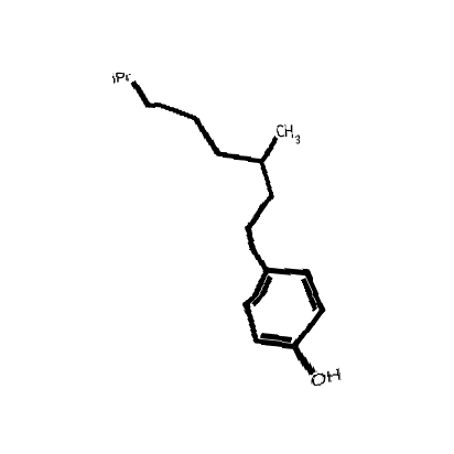 CC(C)CCCC(C)CCc1ccc(O)cc1